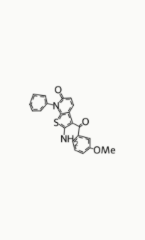 COc1cccc(C(=O)c2c(N)sc3c2ccc(=O)n3-c2ccccc2)c1